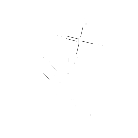 O.O.O=C([O-])[O-].O=C([O-])[O-].O=P([O-])([O-])O.[Ca+2].[Ca+2].[Ca+2]